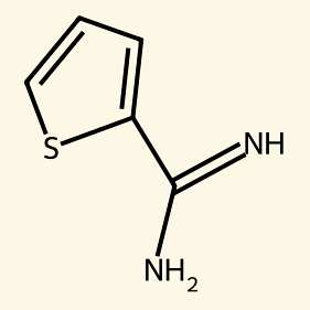 N=C(N)c1cccs1